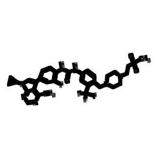 CS(=O)(=O)CCN1CCN(Cc2ccc(NC(=O)Nc3ccc(-c4cn(C5CC5)c5ncnc(N)c45)cc3F)cc2C(F)(F)F)CC1